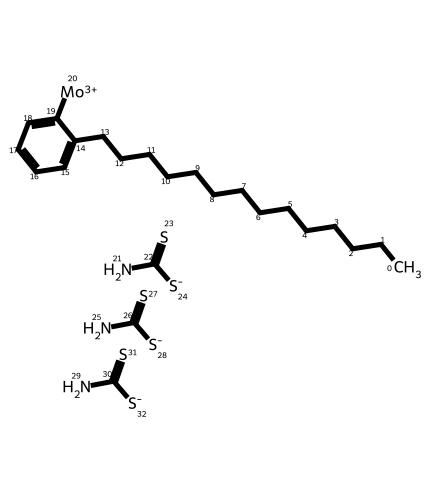 CCCCCCCCCCCCCCc1cccc[c]1[Mo+3].NC(=S)[S-].NC(=S)[S-].NC(=S)[S-]